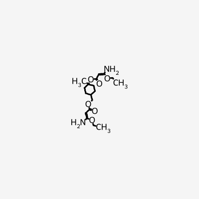 CCOC(N)=CC(=O)OCC1CCC(C)(OC(=O)C=C(N)OCC)CC1